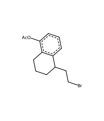 CC(=O)Oc1cccc2c1CCCC2CCBr